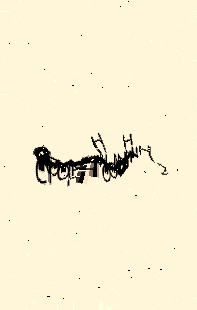 NNc1ccc(OCC(=O)NCCNCC(O)COc2ccccc2Cl)nn1